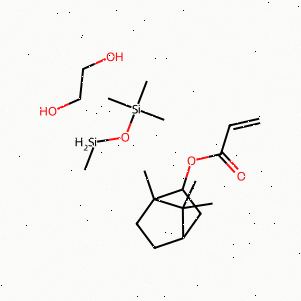 C=CC(=O)OC1CC2CCC1(C)C2(C)C.C[SiH2]O[Si](C)(C)C.OCCO